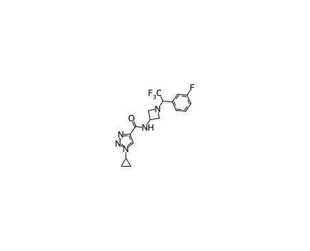 O=C(NC1CN(C(c2cccc(F)c2)C(F)(F)F)C1)c1cn(C2CC2)nn1